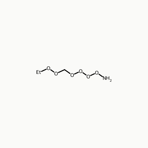 CCOOCOOOON